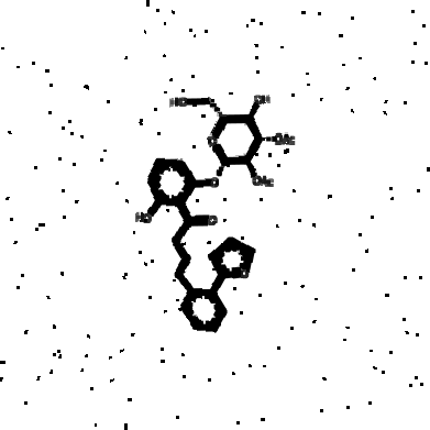 CC(=O)O[C@H]1[C@H](Oc2cccc(O)c2C(=O)CCCc2ccccc2-c2ccco2)O[C@H](CO)[C@@H](O)[C@@H]1OC(C)=O